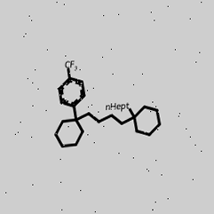 CCCCCCCC1(CCCCC2(c3ccc(C(F)(F)F)cc3)CCCCC2)CCCCC1